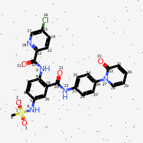 CS(=O)(=O)Nc1ccc(NC(=O)c2ccc(Cl)cn2)c(C(=O)Nc2ccc(-n3ccccc3=O)cc2)c1